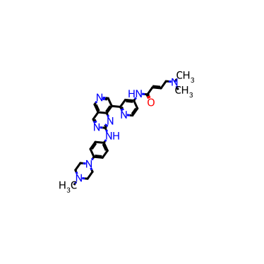 CN(C)C/C=C/C(=O)Nc1ccnc(-c2cncc3cnc(Nc4ccc(N5CCN(C)CC5)cc4)nc23)c1